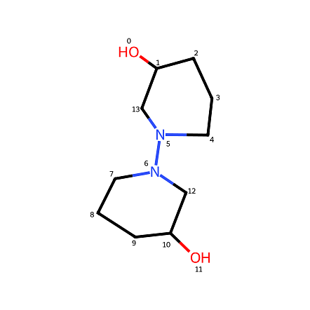 OC1CCCN(N2CCCC(O)C2)C1